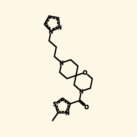 Cc1nc(C(=O)N2CCOC3(CCN(CCCn4cccn4)CC3)C2)cs1